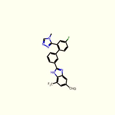 Cn1cnnc1-c1cc(F)ccc1-c1cccc(-c2nc3cc(C=O)cc(C(F)(F)F)c3[nH]2)c1